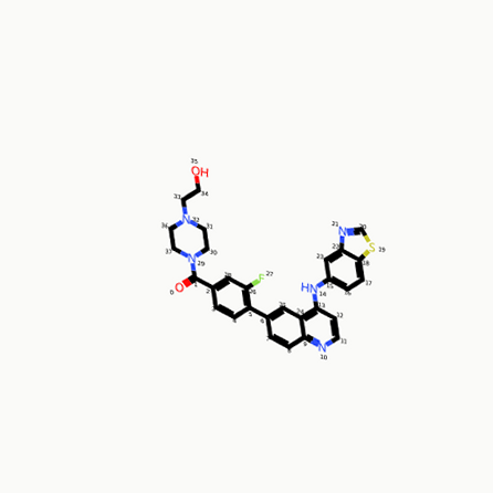 O=C(c1ccc(-c2ccc3nccc(Nc4ccc5scnc5c4)c3c2)c(F)c1)N1CCN(CCO)CC1